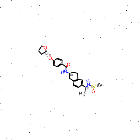 C[C@H](N[S@+]([O-])C(C)(C)C)c1ccc2c(c1)CC[C@H](NC(=O)c1ccc(OC[C@@H]3CCCO3)cc1)C2